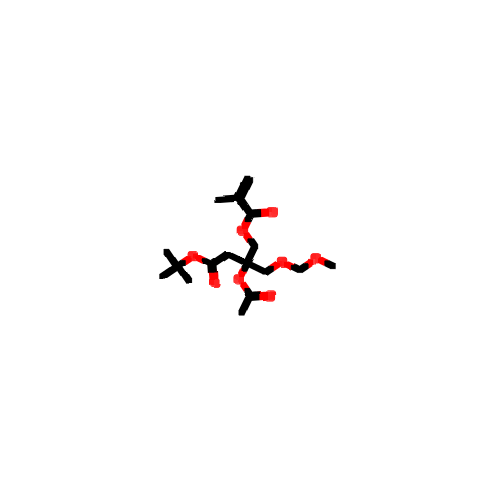 C=C(C)C(=O)OCC(COCOC)(CC(=O)OC(C)(C)C)OC(C)=O